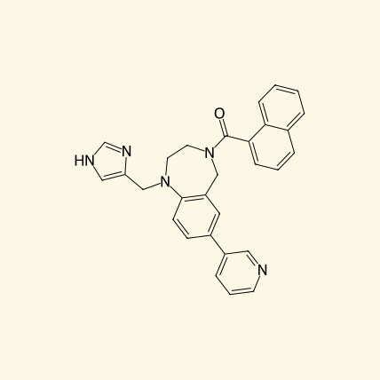 O=C(c1cccc2ccccc12)N1CCN(Cc2c[nH]cn2)c2ccc(-c3cccnc3)cc2C1